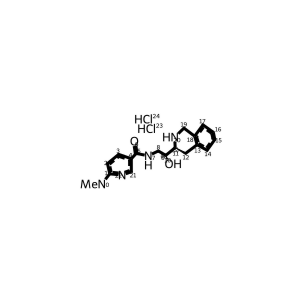 CNc1ccc(C(=O)NC[C@@H](O)[C@@H]2Cc3ccccc3CN2)cn1.Cl.Cl